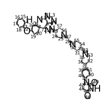 Nc1ncnc2c1c(-c1ccc(Oc3ccccc3)cc1)nn2C1CCN(CCN2CCC(CN3CCC(c4ccc(N5CCC(=O)NC5=O)cc4)CC3)CC2)CC1